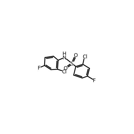 O=S(=O)(Nc1ccc(F)cc1Cl)c1ccc(F)cc1Cl